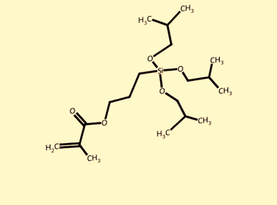 C=C(C)C(=O)OCCC[Si](OCC(C)C)(OCC(C)C)OCC(C)C